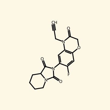 C#CCN1C(=O)COc2cc(F)c(N3C(=O)C4CCCCN4C3=O)cc21